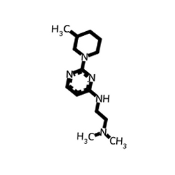 CC1CCCN(c2nccc(NCCN(C)C)n2)C1